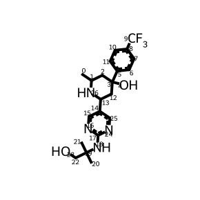 CC1CC(O)(c2ccc(C(F)(F)F)cc2)CC(c2cnc(NC(C)(C)CO)nc2)N1